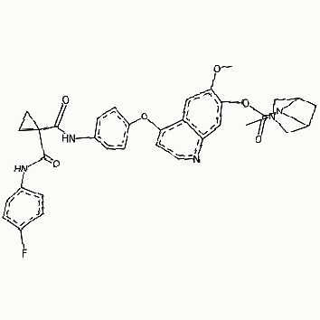 COc1cc2c(Oc3ccc(NC(=O)C4(C(=O)Nc5ccc(F)cc5)CC4)cc3)ccnc2cc1OC(=O)N1C2CC1CN(C)C2